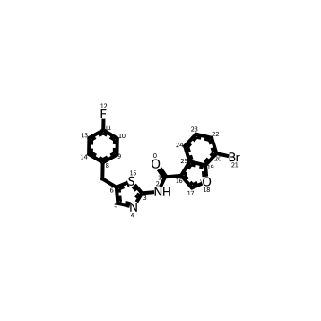 O=C(Nc1ncc(Cc2ccc(F)cc2)s1)c1coc2c(Br)cccc12